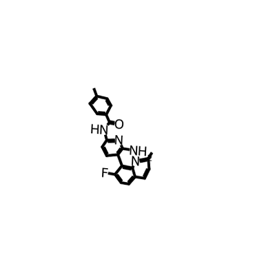 Cc1ccc(C(=O)Nc2ccc(-c3c(F)ccc4ccc(C)nc34)c(N)n2)cc1